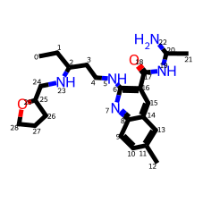 CCC(CCNc1nc2ccc(C)cc2cc1C(=O)NC(C)N)NCC1CCCO1